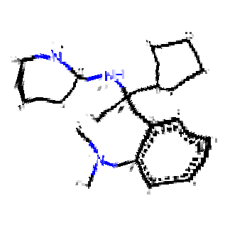 CN(C)c1ccccc1C(C)(NC1CCC[N]1)C1CCCC1